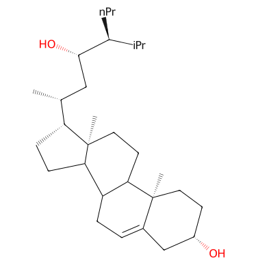 CCC[C@@H](C(C)C)[C@@H](O)C[C@@H](C)[C@H]1CCC2C3CC=C4C[C@@H](O)CC[C@]4(C)C3CC[C@@]21C